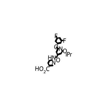 CC(C)Oc1cc(C(=O)Nc2ccc(C(=O)O)cn2)cc(Oc2cc(F)cc(F)c2)n1